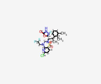 Cc1ccc(F)c([C@@H](C)[C@@H](c2n[nH]c(=O)o2)N2CN(CC(F)F)c3nc(Cl)ccc3S2(=O)=O)c1C